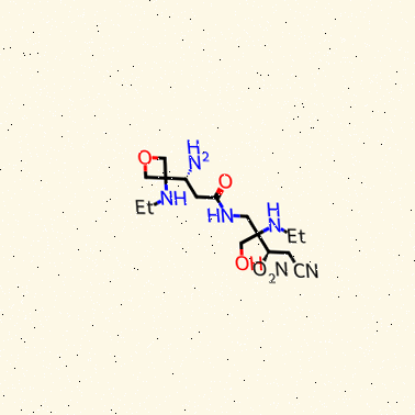 CCNC1([C@H](N)CC(=O)NCC(CO)(NCC)[C@@H](CC#N)[N+](=O)[O-])COC1